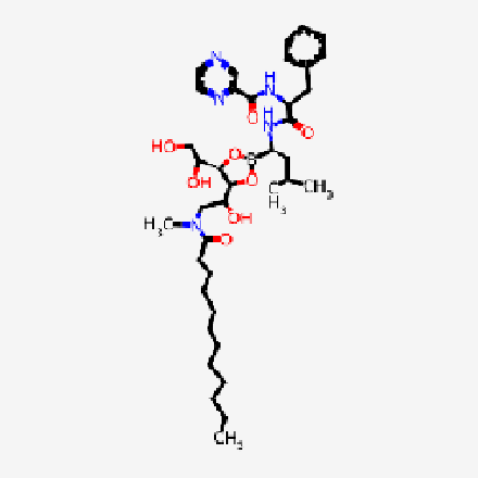 CCCCCCCCCCCC(=O)N(C)CC(O)C1OB([C@H](CC(C)C)NC(=O)C(Cc2ccccc2)NC(=O)c2cnccn2)O[C@@H]1C(O)CO